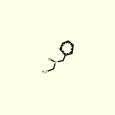 [CH2]C[S+]([O-])Cc1ccccc1